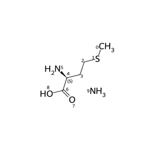 CSCC[C@H](N)C(=O)O.N